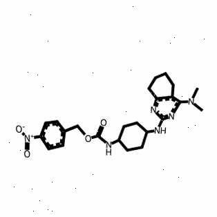 CN(C)c1nc(NC2CCC(NC(=O)OCc3ccc([N+](=O)[O-])cc3)CC2)nc2c1CCCC2